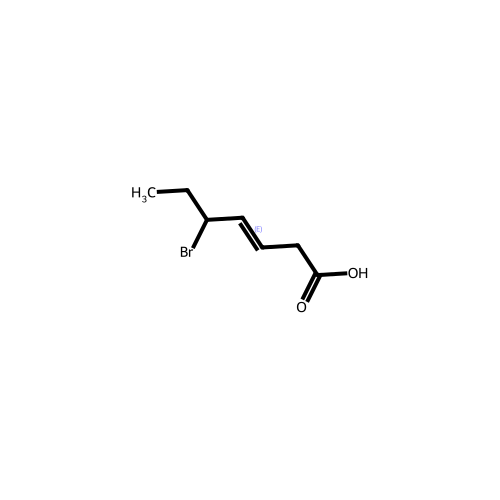 CCC(Br)/C=C/CC(=O)O